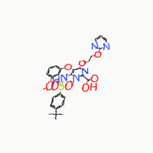 COc1cccc(Oc2c(NS(=O)(=O)c3ccc(C(C)(C)C)cc3)nc(C(=O)O)nc2OCCOc2ncccn2)c1